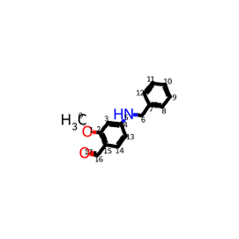 COc1cc(NCc2ccccc2)ccc1C=O